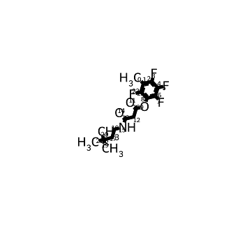 Cc1c(F)c(F)c(F)c(OC(=O)CC(=O)NCCC(C)(C)C)c1F